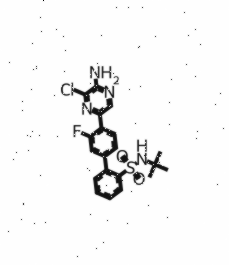 CC(C)(C)NS(=O)(=O)c1ccccc1-c1ccc(-c2cnc(N)c(Cl)n2)c(F)c1